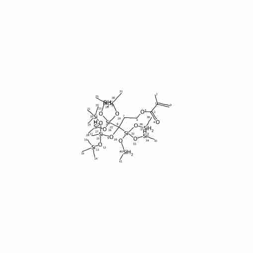 C=C(C)C(=O)OCCC(O[Si](C)(O[Si](C)(C)C)O[Si](C)(C)C)([Si](O[SiH2]C)(O[SiH2]C)O[SiH2]C)[Si](O[SiH2]C)(O[SiH2]C)O[SiH2]C